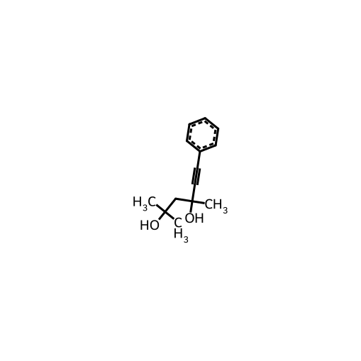 CC(C)(O)CC(C)(O)C#Cc1ccccc1